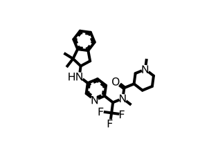 CN1CCCC(C(=O)N(C)C(c2ccc(NC3Cc4ccccc4C3(C)C)cn2)C(F)(F)F)C1